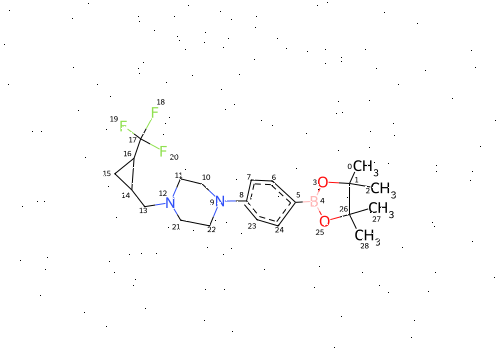 CC1(C)OB(c2ccc(N3CCN(CC4CC4C(F)(F)F)CC3)cc2)OC1(C)C